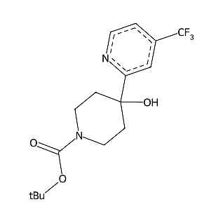 CC(C)(C)OC(=O)N1CCC(O)(c2cc(C(F)(F)F)ccn2)CC1